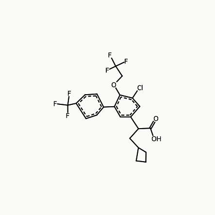 O=C(O)C(CC1CCC1)c1cc(Cl)c(OCC(F)(F)F)c(-c2ccc(C(F)(F)F)cc2)c1